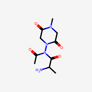 CC(=O)N(C(=O)C(C)N)N1CC(=O)N(C)CC1=O